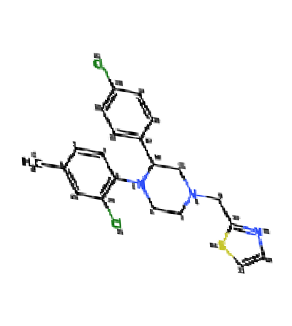 Cc1ccc(N2CCN(Cc3nccs3)CC2c2ccc(Cl)cc2)c(Cl)c1